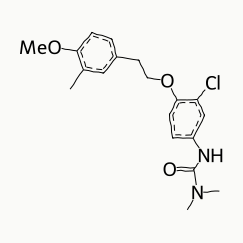 COc1ccc(CCOc2ccc(NC(=O)N(C)C)cc2Cl)cc1C